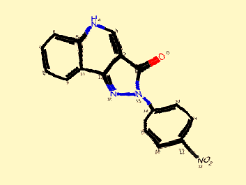 O=c1c2c[nH]c3ccccc3c-2nn1-c1ccc([N+](=O)[O-])cc1